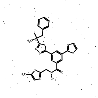 Cc1cnc(CN(C)C(=O)c2cc(-c3ncco3)cc(-c3nnc([C@](C)(I)Cc4ccccc4)o3)c2)s1